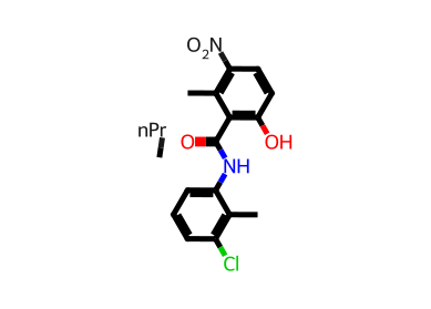 CCCC.Cc1c(Cl)cccc1NC(=O)c1c(O)ccc([N+](=O)[O-])c1C